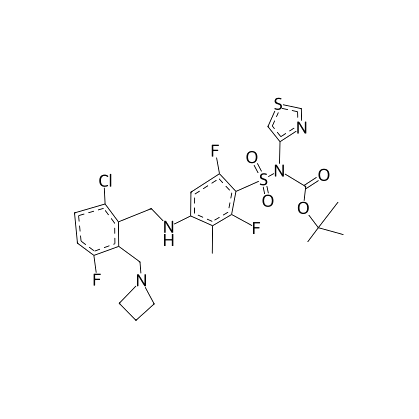 Cc1c(NCc2c(Cl)ccc(F)c2CN2CCC2)cc(F)c(S(=O)(=O)N(C(=O)OC(C)(C)C)c2cscn2)c1F